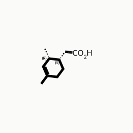 CC1=C[C@H](C)[C@H](CC(=O)O)CC1